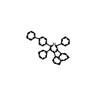 c1ccc(-c2ccc(-c3nc(-c4ccccc4)c4c(c3-c3ccccc3)-c3cccc5cccc-4c35)cc2)cc1